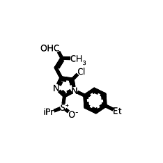 CCc1ccc(-n2c([S+]([O-])C(C)C)nc(C=C(C)C=O)c2Cl)cc1